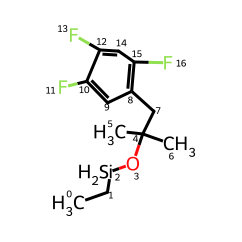 CC[SiH2]OC(C)(C)Cc1cc(F)c(F)cc1F